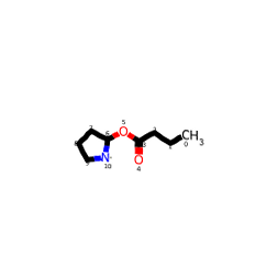 CCCC(=O)OC1CCC[N]1